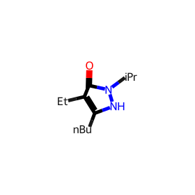 CCCCc1[nH]n(C(C)C)c(=O)c1CC